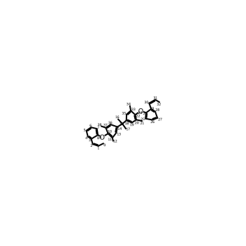 C/C=C\c1ccccc1Oc1c(C)cc(C(C)(C)c2cc(C)c(Oc3ccccc3/C=C\C)c(C)c2)cc1C